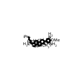 COc1c(N)cc(C2CC[C@@]3(C)C(CC[C@H]4[C@@H]5CC[C@H]([C@H](C)CCCC(C)C)[C@@]5(C)CC[C@@H]43)C2(C)C)cc1N